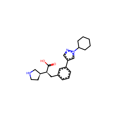 O=C(O)[C@@H](Cc1cccc(-c2cnn(C3CCCCC3)c2)c1)[C@H]1CCNC1